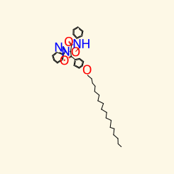 CCCCCCCCCCCCCCCCCCOc1ccc(C(=O)C(OC)(C(=O)Nc2ccccc2)n2cnc3ccccc32)cc1